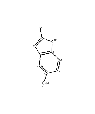 [CH2]c1cc2cc(O)ccc2s1